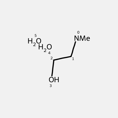 CNCCO.O.O